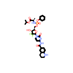 CC(C)OC(=O)[C@@H](C)NP(=O)(OC[C@H]1OC(n2ccc(NC(=O)c3ccc4c(c3)CCCN4)nc2=O)C(F)(F)[C@@H]1O)Oc1ccccc1